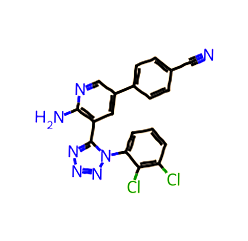 N#Cc1ccc(-c2cnc(N)c(-c3nnnn3-c3cccc(Cl)c3Cl)c2)cc1